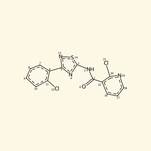 O=C(Nc1nc(-c2ccccc2Cl)ns1)c1cccnc1Cl